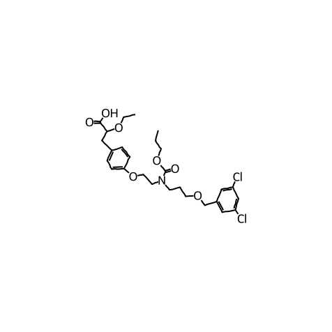 CCCOC(=O)N(CCCOCc1cc(Cl)cc(Cl)c1)CCOc1ccc(CC(OCC)C(=O)O)cc1